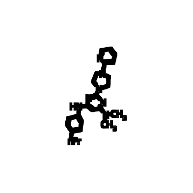 CCCc1ccc(Nc2cc(N(C)C)nc(N3CCN(c4ccccn4)CC3)n2)cc1